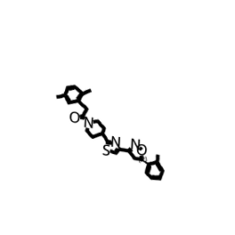 Cc1ccc(C)c(CC(=O)N2CCC(c3nc(C4=NO[C@@H](c5ccccc5C)C4)cs3)CC2)c1